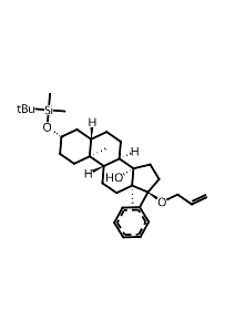 C=CCO[C@]1(c2ccccc2)CC[C@]2(O)[C@@H]3CC[C@H]4C[C@@H](O[Si](C)(C)C(C)(C)C)CC[C@]4(C)[C@H]3CC[C@]12C